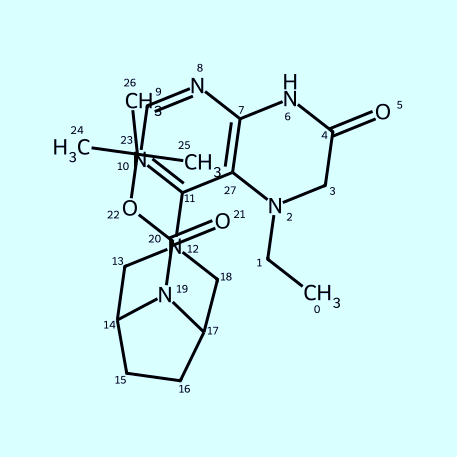 CCN1CC(=O)Nc2ncnc(N3CC4CCC(C3)N4C(=O)OC(C)(C)C)c21